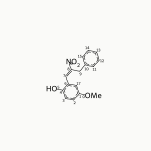 COc1ccc(O)c(/C=C(\Cc2ccccc2)[N+](=O)[O-])c1